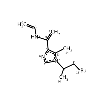 C=CNC(=C)c1ncn(C(C)CC(C)CC)c1C